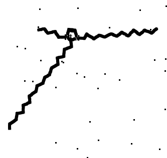 CCCCCCCCCCCCCCCCCCCc1n(CCCCCCCCCCCCCC)cc[n+]1CCCCC